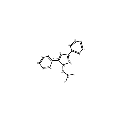 CN(C)Sn1nc(-c2ccccc2)cc1-c1ccccc1